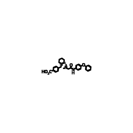 CN(CC(=O)Nc1ccc(Oc2ccccc2)cc1)C[C@H]1CCCCN1Cc1ccc(C(=O)O)cc1